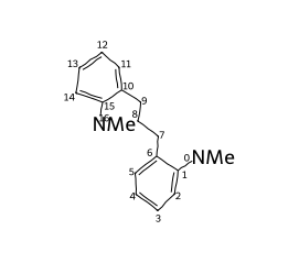 CNc1ccccc1CCCc1ccccc1NC